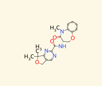 CN1C(=O)[C@@H](NC(=O)c2ncc3c(n2)C(C)(C)OC3)COc2ccccc21